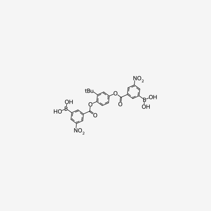 CC(C)(C)c1cc(OC(=O)c2cc(B(O)O)cc([N+](=O)[O-])c2)ccc1OC(=O)c1cc(B(O)O)cc([N+](=O)[O-])c1